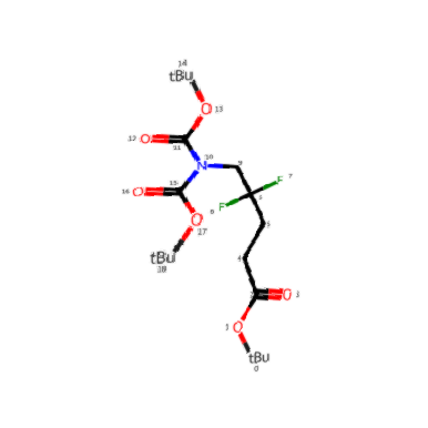 CC(C)(C)OC(=O)CCC(F)(F)CN(C(=O)OC(C)(C)C)C(=O)OC(C)(C)C